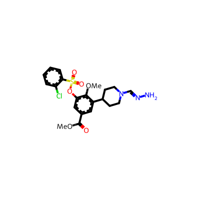 COC(=O)c1cc(OS(=O)(=O)c2ccccc2Cl)c(OC)c(C2CCN(C=NN)CC2)c1